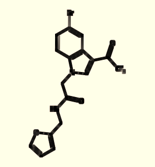 O=C(Cn1cc(C(=O)C(F)(F)F)c2cc(Br)ccc21)NCc1ccco1